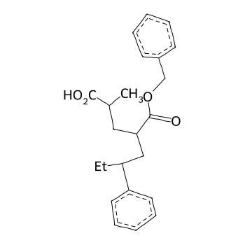 CCC(CC(CC(C)C(=O)O)C(=O)OCc1ccccc1)c1ccccc1